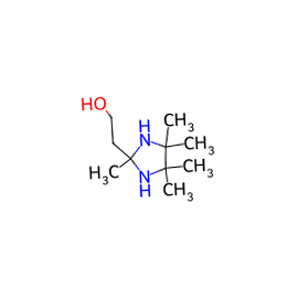 CC1(CCO)NC(C)(C)C(C)(C)N1